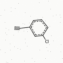 C#Cc1cccc(Cl)c1